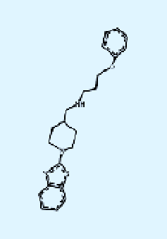 c1ccc(OCCCNCC2CCN(c3nc4ccccc4s3)CC2)cc1